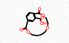 O=C1OCCCCOCCOC(=O)c2ccc1cc2C(=O)O